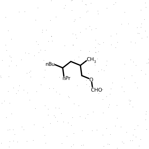 CCCCC(CCC)CC(C)CO[C]=O